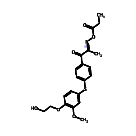 CCC(=O)O/N=C(\C)C(=O)c1ccc(Sc2ccc(OCCO)c(OC)c2)cc1